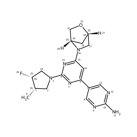 C[C@H]1CN(c2nc(-c3cnc(N)nc3)cc(N3C[C@@H]4C[C@H]3CO4)n2)C[C@H]1F